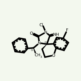 C[C@@H](c1ccccc1)N1C(=O)N(Cl)C(=N)[C@@]12CCOc1ccc(F)cc12